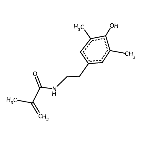 C=C(C)C(=O)NCCc1cc(C)c(O)c(C)c1